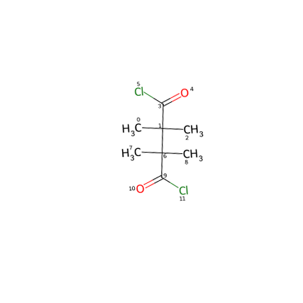 CC(C)(C(=O)Cl)C(C)(C)C(=O)Cl